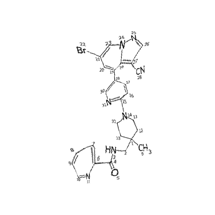 CC1(CNC(=O)c2ccccn2)CCN(c2ccc(-c3cc(Br)cn4ncc(C#N)c34)cn2)CC1